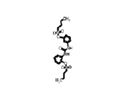 CCCCS(=O)(=O)Oc1cccc(NC(=O)Nc2ccccc2OS(=O)(=O)CCCC)c1